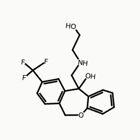 OCCNCC1(O)c2cc(C(F)(F)F)ccc2COc2ccccc21